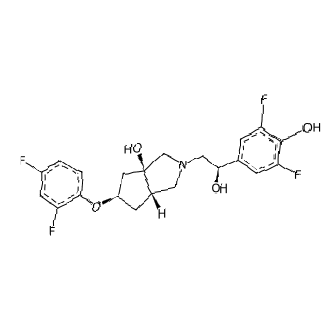 Oc1c(F)cc([C@@H](O)CN2C[C@@H]3C[C@@H](Oc4ccc(F)cc4F)C[C@]3(O)C2)cc1F